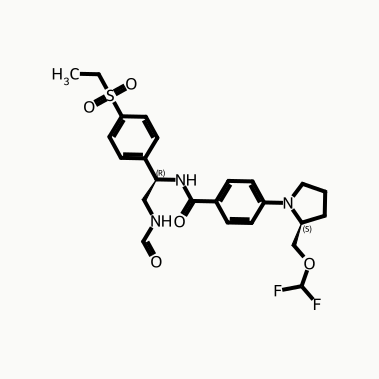 CCS(=O)(=O)c1ccc([C@H](CNC=O)NC(=O)c2ccc(N3CCC[C@H]3COC(F)F)cc2)cc1